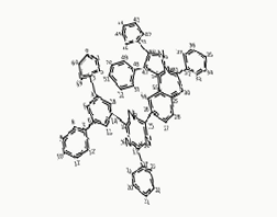 c1ccc(-c2cc(-c3ccccc3)cc(-c3nc(-c4ccccc4)nc(-c4ccc5cc(-c6ccccc6)n6nc(-c7ccccc7)c(-c7ccccc7)c6c5c4)n3)c2)cc1